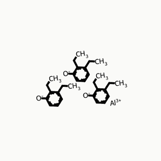 CCc1cccc([O-])c1CC.CCc1cccc([O-])c1CC.CCc1cccc([O-])c1CC.[Al+3]